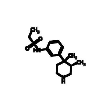 CCS(=O)(=O)Nc1cccc([C@@]2(C)CCNC[C@@H]2C)c1